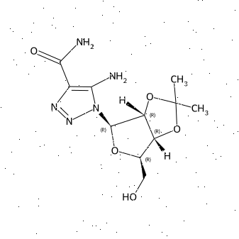 CC1(C)O[C@@H]2[C@H](O1)[C@@H](CO)O[C@H]2n1nnc(C(N)=O)c1N